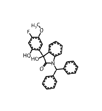 COc1cc(C2(O)C(=O)N(C(c3ccccc3)c3ccccc3)c3ccccc32)c(O)cc1F